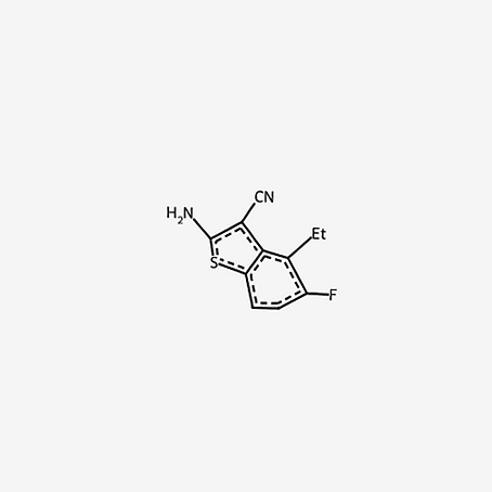 CCc1c(F)ccc2sc(N)c(C#N)c12